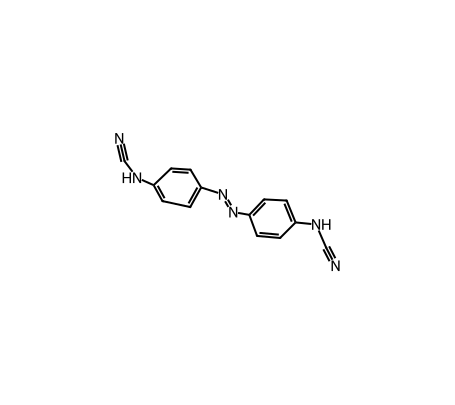 N#CNc1ccc(N=Nc2ccc(NC#N)cc2)cc1